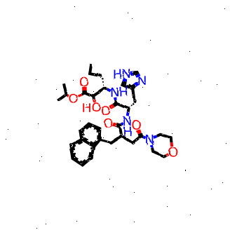 CCC[C@H](NC(=O)[C@H](Cc1c[nH]cn1)NC(=O)C(CC(=O)N1CCOCC1)Cc1cccc2ccccc12)C(O)C(=O)OC(C)C